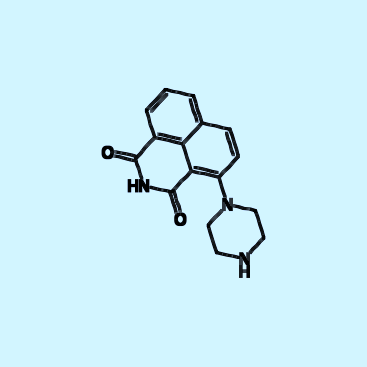 O=C1NC(=O)c2c(N3CCNCC3)ccc3cccc1c23